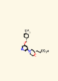 C[C@H]1CC[C@H](COc2cncc(N3CCO[C@@H](CCC(=O)O)C3)c2)CC1